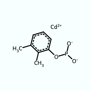 Cc1cccc(OP([O-])[O-])c1C.[Cd+2]